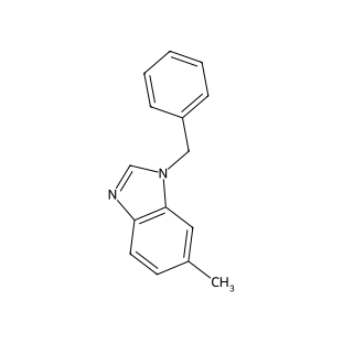 Cc1ccc2ncn(Cc3ccccc3)c2c1